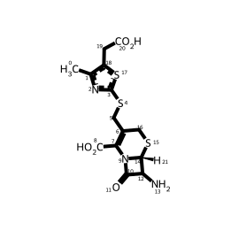 Cc1nc(SCC2=C(C(=O)O)N3C(=O)C(N)[C@H]3SC2)sc1CC(=O)O